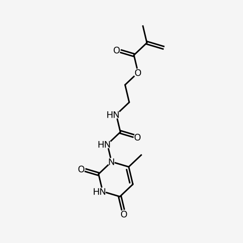 C=C(C)C(=O)OCCNC(=O)Nn1c(C)cc(=O)[nH]c1=O